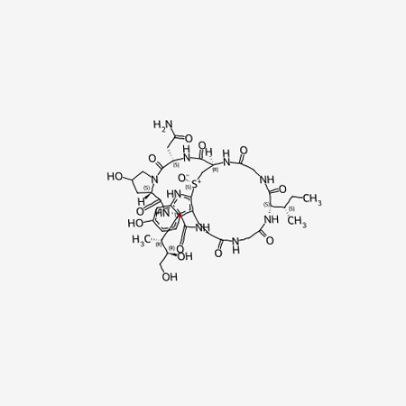 CC[C@H](C)[C@@H]1NC(=O)CNC(=O)C2Cc3c([nH]c4cc(O)ccc34)[S@+]([O-])C[C@H](NC(=O)CNC1=O)C(=O)N[C@@H](CC(N)=O)C(=O)N1CC(O)C[C@H]1C(=O)N[C@@H]([C@@H](C)[C@@H](O)CO)C(=O)N2